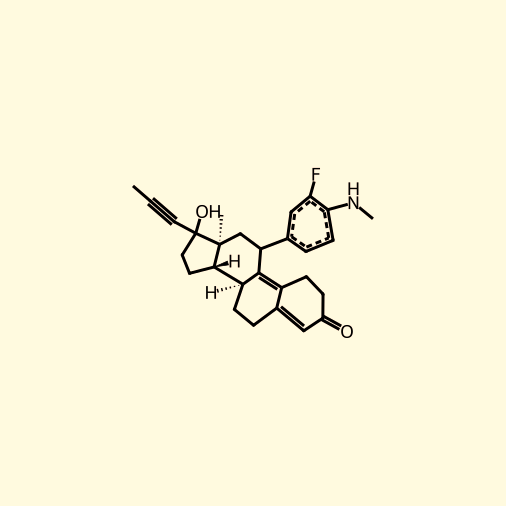 CC#CC1(O)CC[C@H]2[C@@H]3CCC4=CC(=O)CCC4=C3C(c3ccc(NC)c(F)c3)C[C@@]21C